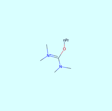 CCCOC(N(C)C)=[N+](C)C